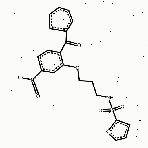 O=C(c1ccccc1)c1ccc([N+](=O)[O-])cc1OCCCNS(=O)(=O)c1cccs1